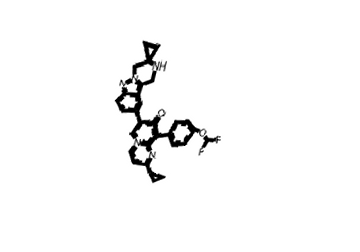 O=c1c(-c2ccc3nn4c(c3c2)CNC2(CC2)C4)cn2ccc(C3CC3)nc2c1-c1ccc(OC(F)F)cc1